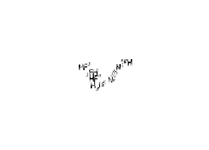 B.F.F.F.F.N#N